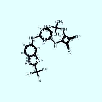 CC(C)(C)Nc1c(Nc2ccnc(Nc3ccc4[nH]c(C(F)(F)F)nc4c3)n2)c(=O)c1=O